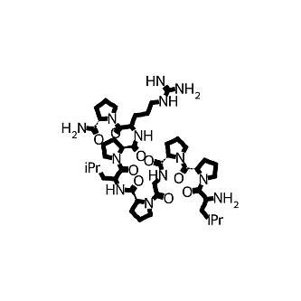 CC(C)CC(N)C(=O)N1CCC[C@H]1C(=O)N1CCC[C@H]1C(=O)NCC(=O)N1CCC[C@H]1C(=O)NC(CC(C)C)C(=O)N1CCC[C@H]1C(=O)NC(CCCNC(=N)N)C(=O)N1CCC[C@H]1C(N)=O